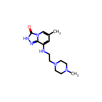 Cc1cc(NCCN2CCN(C)CC2)c2n[nH]c(=O)n2c1